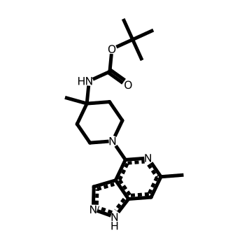 Cc1cc2[nH]ncc2c(N2CCC(C)(NC(=O)OC(C)(C)C)CC2)n1